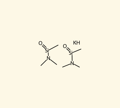 CN(C)[Si](C)=O.CN(C)[Si](C)=O.[KH]